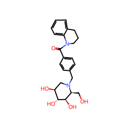 O=C(c1ccc(CN2C[C@H](O)[C@@H](O)[C@H](O)[C@@H]2CO)cc1)N1CCCc2ccccc21